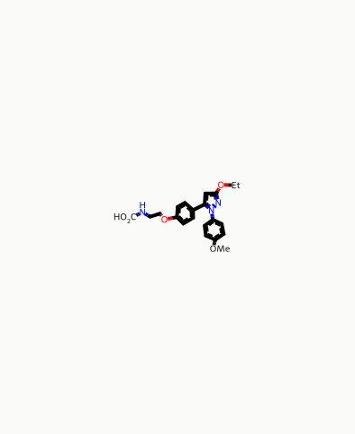 CCOc1cc(-c2ccc(OCCNC(=O)O)cc2)n(-c2ccc(OC)cc2)n1